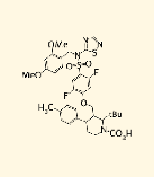 COc1ccc(CN(c2ncns2)S(=O)(=O)c2cc(F)c(OCC3C(c4ccc(C)cc4)CCN(C(=O)O)C3C(C)(C)C)cc2F)c(OC)c1